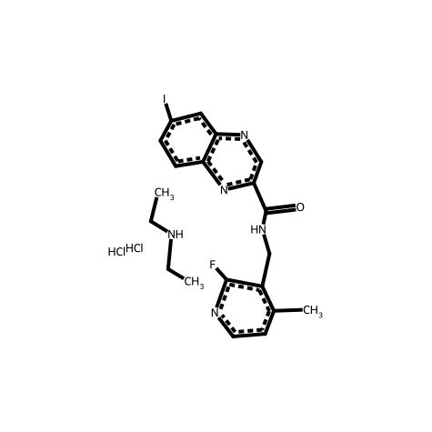 CCNCC.Cc1ccnc(F)c1CNC(=O)c1cnc2cc(I)ccc2n1.Cl.Cl